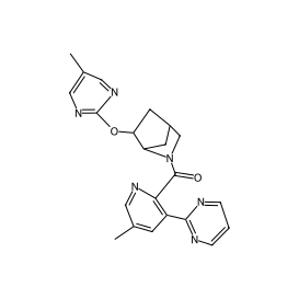 Cc1cnc(OC2CC3CC2N(C(=O)c2ncc(C)cc2-c2ncccn2)C3)nc1